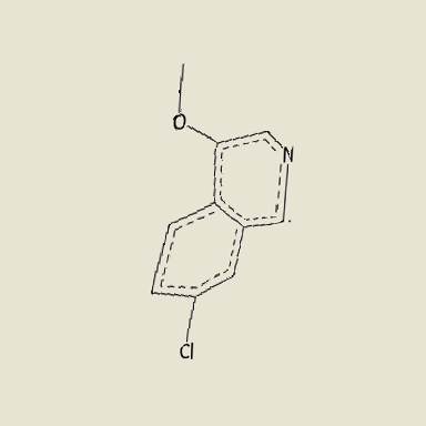 COc1cn[c]c2cc(Cl)ccc12